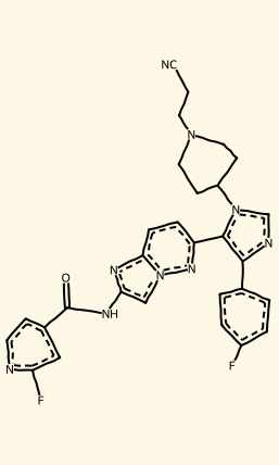 N#CCCN1CCC(n2cnc(-c3ccc(F)cc3)c2-c2ccc3nc(NC(=O)c4ccnc(F)c4)cn3n2)CC1